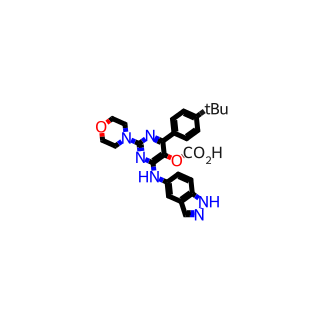 CC(C)(C)c1ccc(-c2nc(N3CCOCC3)nc(Nc3ccc4[nH]ncc4c3)c2OC(=O)O)cc1